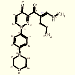 CCC/C(=C\NC)C(=O)c1nn(-c2ccc(N3CCOCC3)cc2)ccc1=O